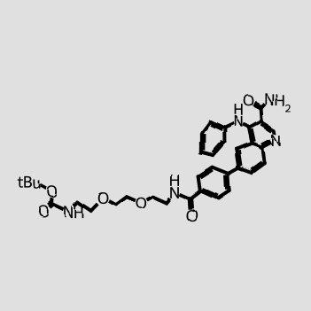 CC(C)(C)OC(=O)NCCOCCOCCNC(=O)c1ccc(-c2ccc3ncc(C(N)=O)c(Nc4ccccc4)c3c2)cc1